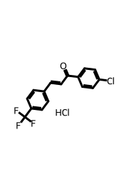 Cl.O=C(/C=C/c1ccc(C(F)(F)F)cc1)c1ccc(Cl)cc1